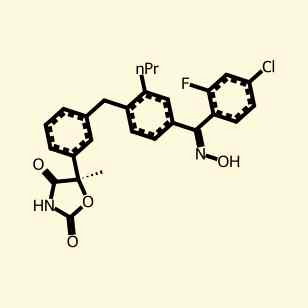 CCCc1cc(/C(=N/O)c2ccc(Cl)cc2F)ccc1Cc1cccc([C@@]2(C)OC(=O)NC2=O)c1